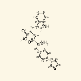 COC(=O)[C@H](Cc1c[nH]c2ccccc12)NC(=O)[C@@H](N)Cc1ccc(-c2ccsc2)cc1